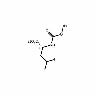 CCOC(=O)[C@@H](CC(F)F)NC(=O)OC(C)(C)C